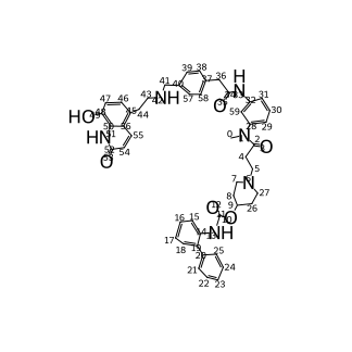 CN(C(=O)CCN1CCC(OC(=O)Nc2ccccc2-c2ccccc2)CC1)c1cccc(NC(=O)Cc2ccc(CNCCc3ccc(O)c4[nH]c(=O)ccc34)cc2)c1